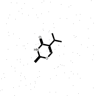 C=C1NC(=O)C(C(C)C)=CO1